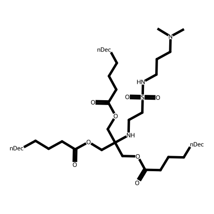 CCCCCCCCCCCCCC(=O)OCC(COC(=O)CCCCCCCCCCCCC)(COC(=O)CCCCCCCCCCCCC)NCCS(=O)(=O)NCCCN(C)C